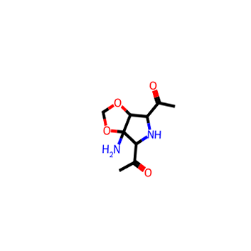 CC(=O)C1NC(C(C)=O)C2(N)OCOC12